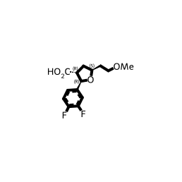 COCC[C@@H]1C[C@@H](C(=O)O)[C@H](c2ccc(F)c(F)c2)O1